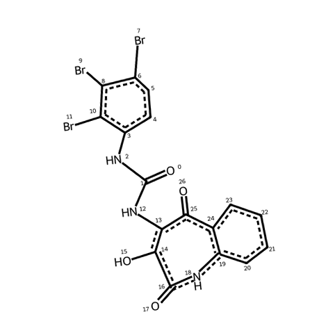 O=C(Nc1ccc(Br)c(Br)c1Br)Nc1c(O)c(=O)[nH]c2ccccc2c1=O